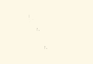 C[SiH2]n1cnc2ccccc21